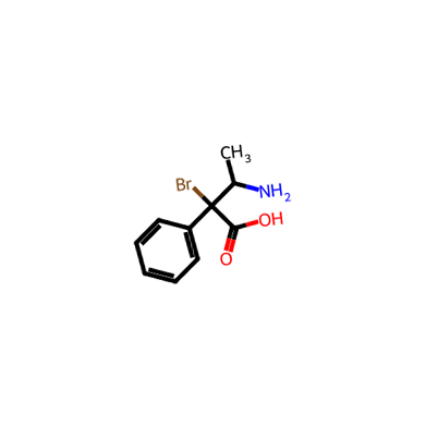 CC(N)C(Br)(C(=O)O)c1ccccc1